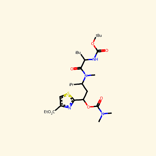 CCOC(=O)c1csc(C(CC(C(C)C)N(C)C(=O)C(NC(=O)OC(C)(C)C)C(C)CC)OC(=O)N(C)C)n1